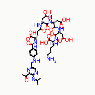 CC(=O)c1nc(CNc2ccc(C(=O)N[C@@H](CCC(=O)N[C@@H](CC(=O)O)C(=O)N[C@@H](CC(=O)O)C(=O)N[C@@H](CC(=O)O)C(=O)N[C@@H](CCCCN)C(=O)O)C(=O)O)cc2)cnc1N=C(C)C